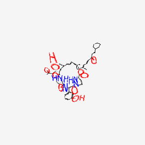 CC(=O)CC[C@H]1C(=O)N[C@@H](C(C)C)C(=O)NC(c2cccc(O)c2)C(=O)N2CCCC(N2)C(=O)O[C@H](/C(C)=C/C=C/C(=O)CCC2CCCCC2)C/C=C/C=C/C[C@H](C)[C@H]1O